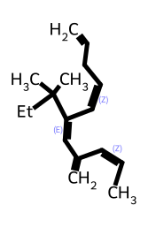 C=CC/C=C\C(=C/C(=C)/C=C\C)C(C)(C)CC